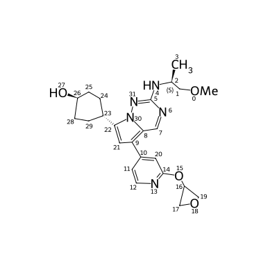 COC[C@H](C)Nc1ncc2c(-c3ccnc(OC4COC4)c3)cc([C@H]3CC[C@H](O)CC3)n2n1